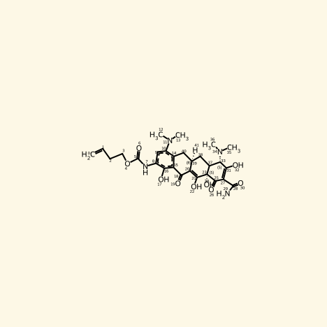 C=CCCOC(=O)Nc1cc(N(C)C)c2c(c1O)C(=O)C1=C(O)[C@]3(O)C(=O)C(C(N)=O)=C(O)[C@@H](N(C)C)C3C[C@@H]1C2